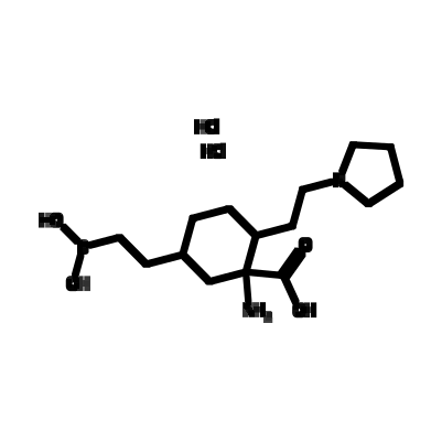 Cl.Cl.NC1(C(=O)O)CC(CCB(O)O)CCC1CCN1CCCC1